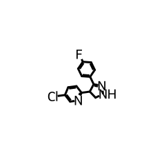 Fc1ccc(C2=NNCC2c2ccc(Cl)cn2)cc1